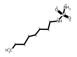 CCCCCCCCNS(N)(=O)=O